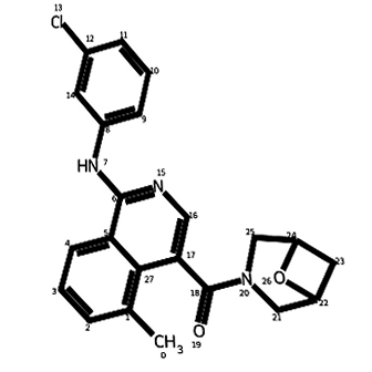 Cc1cccc2c(Nc3cccc(Cl)c3)ncc(C(=O)N3CC4CC(C3)O4)c12